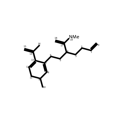 C=CCCC(CCC1=CC(C)CC=C1C(=C)C)C(=C)NC